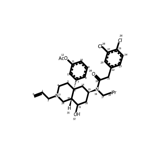 C=CCN1CC[C@@]2(c3cccc(OC(C)=O)c3)C[C@@H](N(CC(C)C)C(=O)Cc3ccc(Cl)c(Cl)c3)CC(O)[C@@H]2C1